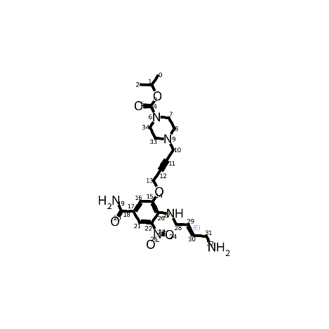 CC(C)OC(=O)N1CCN(CC#CCOc2cc(C(N)=O)cc([N+](=O)[O-])c2NC/C=C/CN)CC1